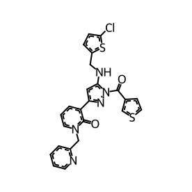 O=C(c1ccsc1)n1nc(-c2cccn(Cc3ccccn3)c2=O)cc1NCc1ccc(Cl)s1